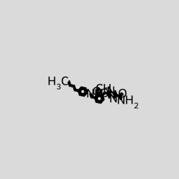 CCCCCc1ccc(NCc2cccc(Oc3cnc(C(N)=O)cn3)c2OC)cc1